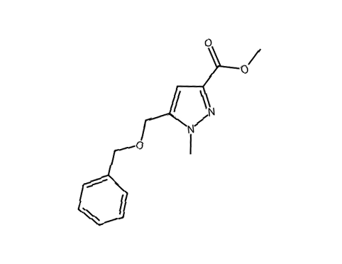 COC(=O)c1cc(COCc2ccccc2)n(C)n1